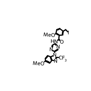 COc1ccc2c(c1)nc(C(F)(F)F)n2-c1cnc(NC(=O)c2cc(CI)ccc2OC)cn1